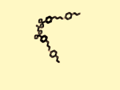 CCC[C@H]1CC[C@H](CCCCc2ccc(C(=O)OC[C@@H](C)OC(=O)c3ccc(CCCC[C@H]4CC[C@H](CCC)CC4)cc3)cc2)CC1